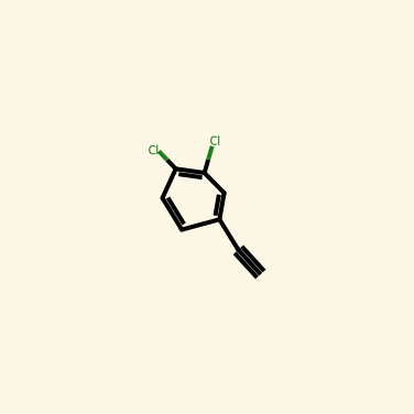 C#Cc1ccc(Cl)c(Cl)c1